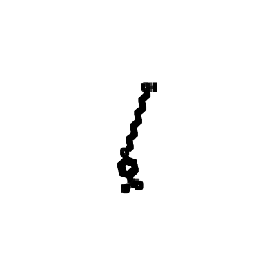 O=[N+]([O-])c1ccc(OCCCCCCCCCO)cc1